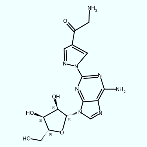 NCC(=O)c1cnn(-c2nc(N)c3ncn([C@@H]4O[C@H](CO)[C@@H](O)[C@H]4O)c3n2)c1